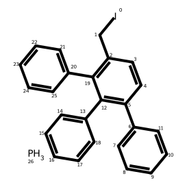 ICc1ccc(-c2ccccc2)c(-c2ccccc2)c1-c1ccccc1.P